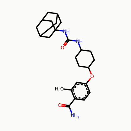 Cc1cc(OC2CCC(NC(=O)NC34CC5CC(CC(C5)C3)C4)CC2)ccc1C(N)=O